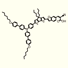 CCCCCCOc1ccc(-c2ccc(N(c3ccc(-c4ccc(OCCCCCC)cc4)cc3)c3ccc(-c4cc5c(s4)-c4sc(-c6cc7ccc(/C=C(/C#N)C(=O)O)cc7o6)cc4C5(CCCC)CCCC)cc3)cc2)cc1